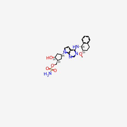 CO[C@H]1CCc2ccccc2[C@H]1Nc1ncnc2c1ccn2[C@@H]1C[C@@H](COS(N)(=O)=O)[C@@H](O)C1